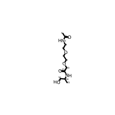 CC(=O)NCCOCCOCC(=O)NC(C)CO